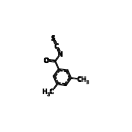 Cc1cc(C)cc(C(=O)N=C=S)c1